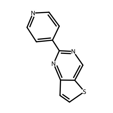 c1cc(-c2ncc3sccc3n2)ccn1